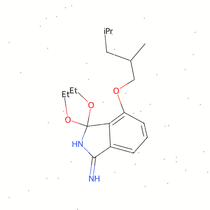 CCOC1(OCC)NC(=N)c2cccc(OCC(C)CC(C)C)c21